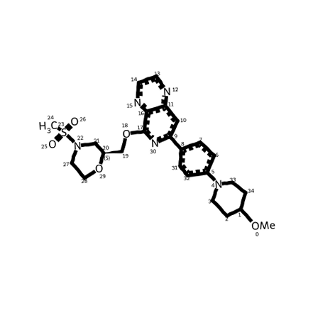 COC1CCN(c2ccc(-c3cc4nccnc4c(OC[C@@H]4CN(S(C)(=O)=O)CCO4)n3)cc2)CC1